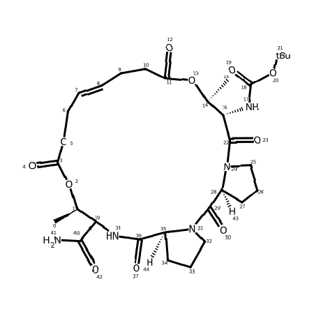 C[C@H]1OC(=O)CC/C=C/CCC(=O)O[C@H](C)[C@H](NC(=O)OC(C)(C)C)C(=O)N2CCC[C@H]2C(=O)N2CCC[C@H]2C(=O)NC1C(N)=O